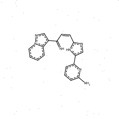 N=C(/C=C\c1ncc(-c2cccc(N)n2)[nH]1)c1cnn2ccccc12